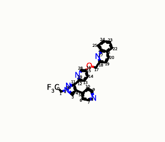 FC(F)(F)Cn1cc(-c2ccncc2)c(-c2ccc(OCc3ccc4ccccc4n3)cn2)n1